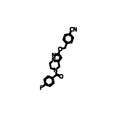 N#Cc1ccc(COc2cc3n(n2)CCN(C(=O)c2ccc(F)cc2)C3)cc1